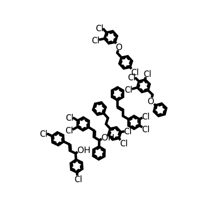 Clc1cc(COc2ccccc2)cc(Cl)c1Cl.Clc1ccc(CC=Cc2ccccc2)cc1Cl.Clc1ccc(CCc2ccccc2)cc1Cl.Clc1ccc(COc2ccc(Cl)c(Cl)c2)cc1.OC(C=Cc1ccc(Cl)c(Cl)c1)c1ccccc1.OC(C=Cc1ccc(Cl)cc1)c1ccc(Cl)cc1